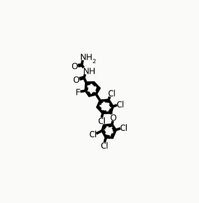 NC(=O)NC(=O)c1ccc(-c2cc(Cl)c(Oc3cc(Cl)c(Cl)cc3Cl)c(Cl)c2Cl)cc1F